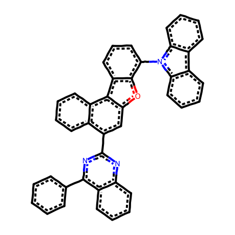 c1ccc(-c2nc(-c3cc4oc5c(-n6c7ccccc7c7ccccc76)cccc5c4c4ccccc34)nc3ccccc23)cc1